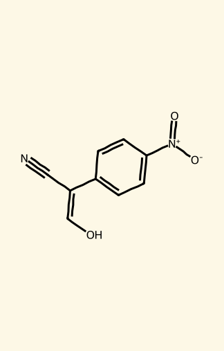 N#C/C(=C/O)c1ccc([N+](=O)[O-])cc1